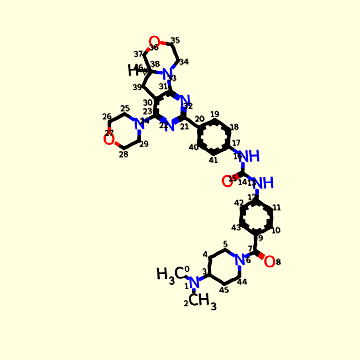 CN(C)C1CCN(C(=O)c2ccc(NC(=O)Nc3ccc(-c4nc(N5CCOCC5)c5c(n4)N4CCOC[C@H]4C5)cc3)cc2)CC1